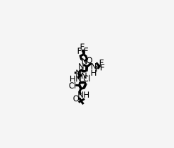 Cn1c(Nc2c(Cl)ccc(CNC(=O)C(C)(C)C)c2Cl)nc2cc(C(=O)NCC(F)(F)F)c(N3CCC(C(F)(F)F)CC3)nc21